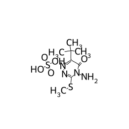 CSc1nnc(C(C)(C)C)c(=O)n1N.O=S(=O)(O)O